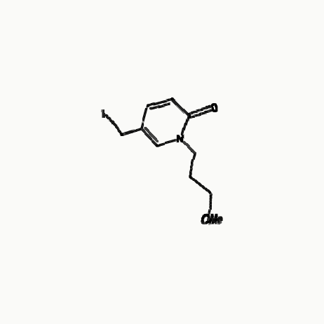 COCCCn1cc(CI)ccc1=O